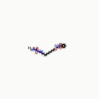 CNC(=O)C(=O)NCCCC/C=C\CCCCCCCOCCNS(=O)(=O)c1ccccc1